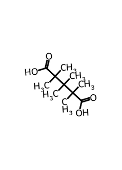 CC(C)(C(=O)O)C(C)(C)C(C)(C)C(=O)O